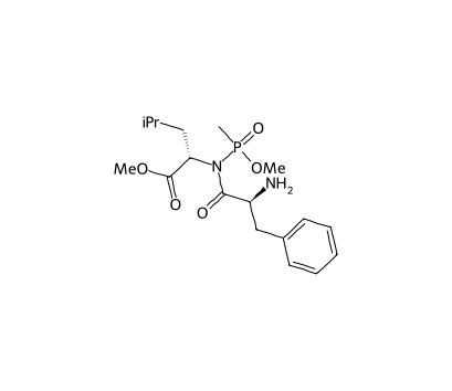 COC(=O)[C@H](CC(C)C)N(C(=O)[C@@H](N)Cc1ccccc1)P(C)(=O)OC